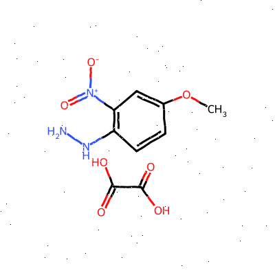 COc1ccc(NN)c([N+](=O)[O-])c1.O=C(O)C(=O)O